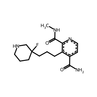 CNC(=O)c1nccc(C(N)=O)c1CCCC1(F)CCCNC1